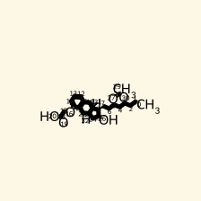 CCCCCC(CC[C@@H]1[C@H]2Cc3cccc(OCC(=O)O)c3C[C@H]2C[C@H]1O)OC(C)=O